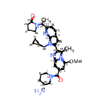 COc1cc(C(=O)N2CCC[C@@H](N)C2)cc2nc(-c3cc4ccc([C@@H](C)N5CCCC5=O)nc4n3CC3CC3)c(C)n12